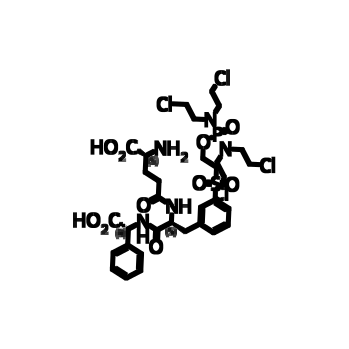 N[C@@H](CCC(=O)N[C@@H](Cc1cccc(S(=O)(=O)CCOP(=O)(N(CCCl)CCCl)N(CCCl)CCCl)c1)C(=O)N[C@@H](C(=O)O)c1ccccc1)C(=O)O